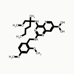 CCCCC(C)(COC)Nc1nc(NCc2ccc(OC)cc2OC)nc2cc(B(O)O)cnc12